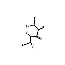 C=C(C(F)C(F)F)C(F)C(F)F